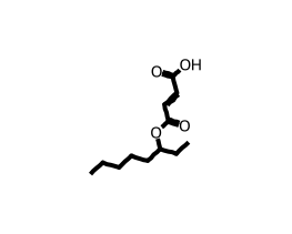 CCCCCC(CC)OC(=O)C=CC(=O)O